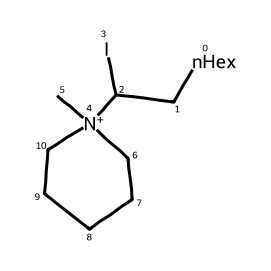 CCCCCCCC(I)[N+]1(C)CCCCC1